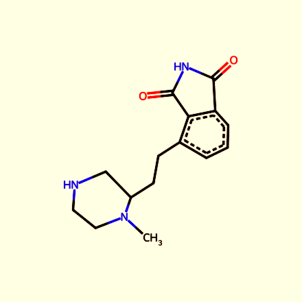 CN1CCNCC1CCc1cccc2c1C(=O)NC2=O